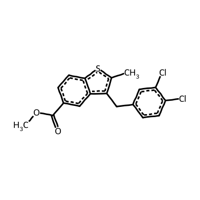 COC(=O)c1ccc2sc(C)c(Cc3ccc(Cl)c(Cl)c3)c2c1